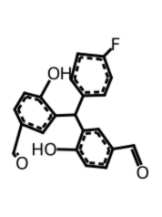 O=Cc1ccc(O)c(C(c2ccc(F)cc2)c2cc(C=O)ccc2O)c1